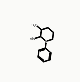 CCCCC1C(C)CCCN1c1ccccc1